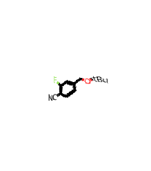 CC(C)(C)OCc1ccc(C#N)c(F)c1